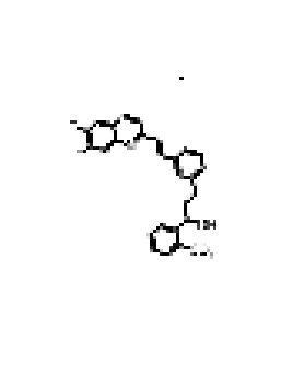 O=C(O)c1ccccc1C(O)CCc1cccc(C=Cc2ccc3cc(F)c(F)cc3n2)c1